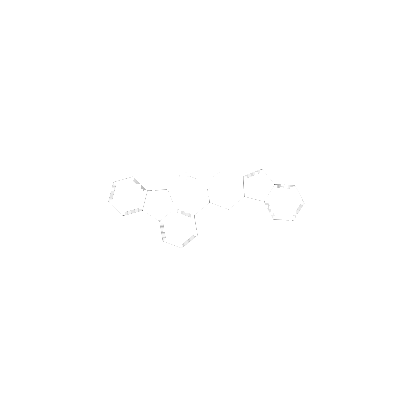 [Cl][Hf]([Cl])[CH](CC1C=Cc2ccccc21)c1cccc2c1Cc1ccccc1-2